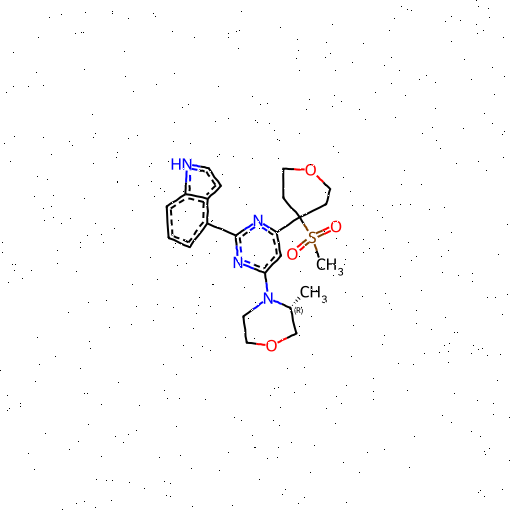 C[C@@H]1COCCN1c1cc(C2(S(C)(=O)=O)CCOCC2)nc(-c2cccc3[nH]ccc23)n1